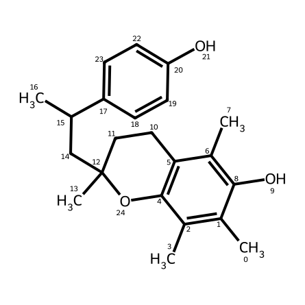 Cc1c(C)c2c(c(C)c1O)CCC(C)(CC(C)c1ccc(O)cc1)O2